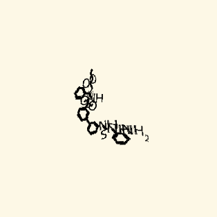 CCOC(=O)C[C@@H](NS(=O)(=O)c1cccc(-c2cccc(NC(=S)Nc3ccccc3N)c2)c1)c1ccccc1